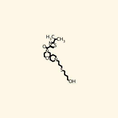 CC(C)c1nc(C(=O)N2CCOC3(CCN(CCCSCCCCO)CC3)C2)cs1